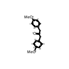 COc1ccc(CC(=O)Cc2ccc(OC)cc2)cc1